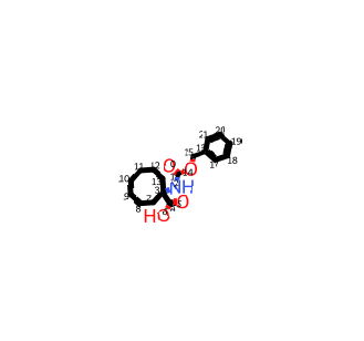 O=C(NC1(C(=O)O)CCCCCCC1)OCc1ccccc1